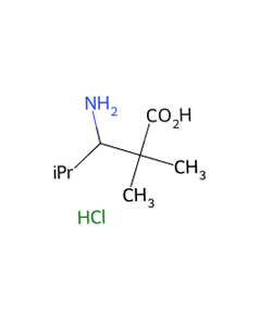 CC(C)C(N)C(C)(C)C(=O)O.Cl